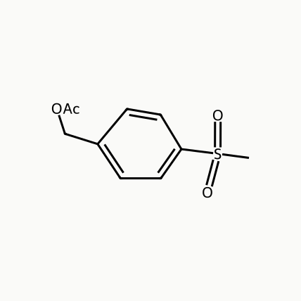 CC(=O)OCc1ccc(S(C)(=O)=O)cc1